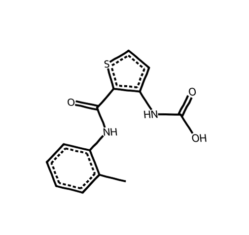 Cc1ccccc1NC(=O)c1sccc1NC(=O)O